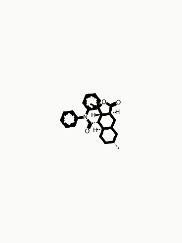 C[C@@H]1CC[C@@H]2C(C1)C[C@@H]1C(=O)O[C@H](C)[C@H]1[C@H]2C(=O)N(c1ccccc1)c1ccccc1